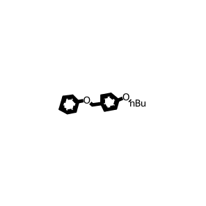 CCCCOc1ccc(COc2ccccc2)cc1